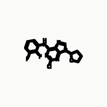 Fc1cccc(Nc2nc(Cl)nc3c2ncn3C2CCCO2)c1F